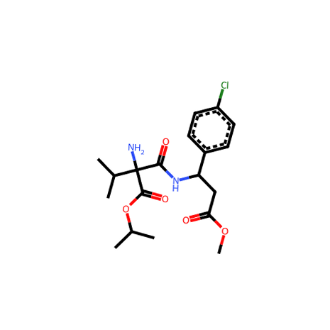 COC(=O)CC(NC(=O)C(N)(C(=O)OC(C)C)C(C)C)c1ccc(Cl)cc1